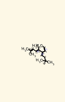 C\C=C/C(=C\CC(C)(C)F)C(/C)=C/C=C(C)C